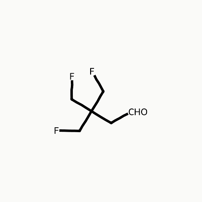 O=CCC(CF)(CF)CF